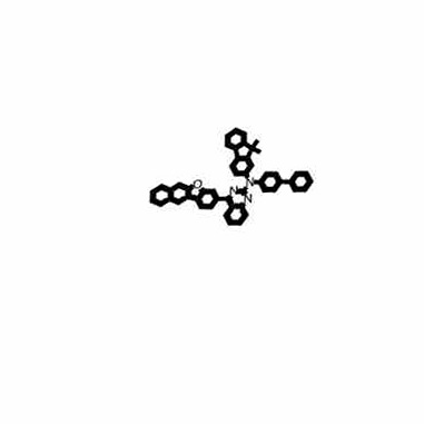 CC1(C)c2ccccc2-c2ccc(N(c3ccc(-c4ccccc4)cc3)c3nc(-c4ccc5c(c4)oc4cc6ccccc6cc45)c4ccccc4n3)cc21